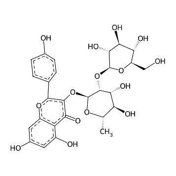 C[C@@H]1O[C@@H](Oc2c(-c3ccc(O)cc3)oc3cc(O)cc(O)c3c2=O)[C@H](O[C@@H]2O[C@H](CO)[C@@H](O)[C@H](O)[C@H]2O)[C@H](O)[C@H]1O